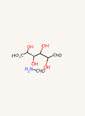 NC=O.O=CC(O)C(O)C(O)C(O)C(=O)O